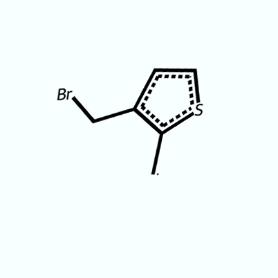 [CH2]c1sccc1CBr